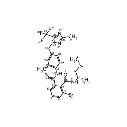 CSC[C@H](C)NC(=O)c1c(Br)cccc1C(=O)Nc1ccc(Cn2nc(C)nc2C(F)(F)F)cc1C